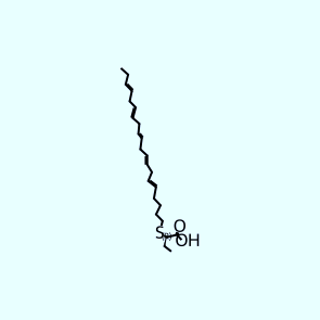 CCC=CCC=CCC=CCC=CCC=CCCCCS[C@H](CC)C(=O)O